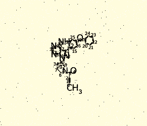 CC#CC(=O)N1CC2CC1C(n1nc(-c3ccc(Oc4ccccc4)cc3)c3c(N)ncnc31)C2